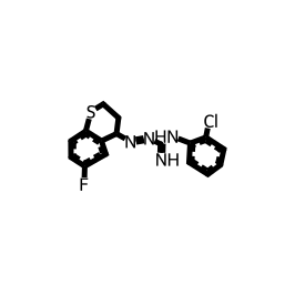 N=C(N=NC1CCSc2ccc(F)cc21)Nc1ccccc1Cl